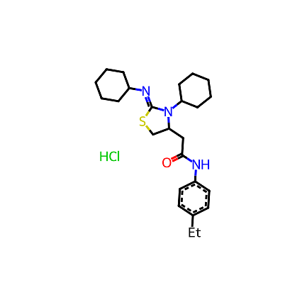 CCc1ccc(NC(=O)CC2CSC(=NC3CCCCC3)N2C2CCCCC2)cc1.Cl